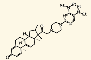 CCN(CC)c1cnc(N2CCN(CC(=O)[C@@]3(C)C(C)C[C@H]4[C@@H]5CCC6=CC(=O)C=C[C@]6(C)C5=CC[C@@]43C)CC2)nc1N(CC)CC